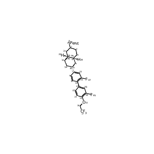 CCCCCC1CC[C@@H]2C[C@H](c3ccc(-c4ccc(OCC(F)(F)F)c(F)c4)c(F)c3)CC[C@@H]2C1